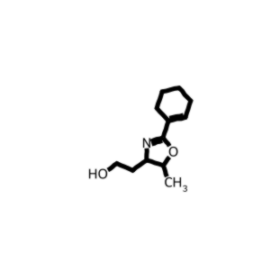 CC1OC(C2=CCCCC2)=NC1CCO